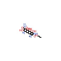 CCCCOC(=O)Nc1cc(N(C)C)c2c(c1O)C(=O)C1=C(O)C3(O)C(=O)C(C(N)=O)=C(O)C(N(C)C)C3CC1C2